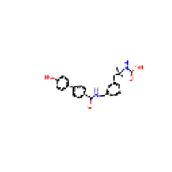 CC(C)(Cc1cccc(CNC(=O)c2ccc(-c3ccc(O)cc3)cc2)c1)NC(=O)O